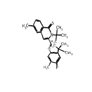 Cc1ccc2c(=S)n(C(C)(C)C)c(COc3cc(C)c(F)cc3C(C)(C)C)cc2c1